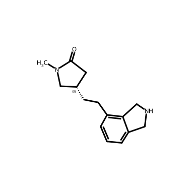 CN1C[C@@H](CCc2cccc3c2CNC3)CC1=O